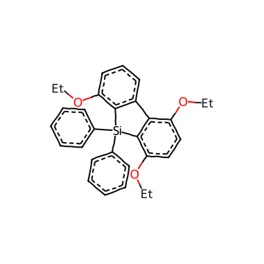 CCOc1ccc(OCC)c2c1-c1cccc(OCC)c1[Si]2(c1ccccc1)c1ccccc1